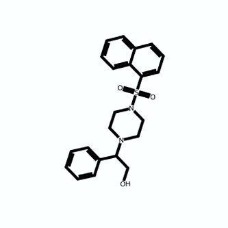 O=S(=O)(c1cccc2ccccc12)N1CCN(C(CO)c2ccccc2)CC1